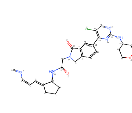 C=N/C=C\C=C1/CCCC1NC(=O)CN1Cc2ccc(-c3nc(NC4CCOCC4)ncc3Cl)cc2C1=O